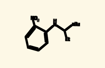 CCCCC(CC)Nc1ccccc1[N+](=O)[O-]